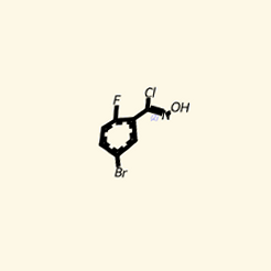 O/N=C(\Cl)c1cc(Br)ccc1F